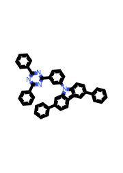 c1ccc(-c2ccc3c(c2)c2ccc(-c4ccccc4)cc2n3-c2cccc(-c3nc(-c4ccccc4)nc(-c4ccccc4)n3)c2)cc1